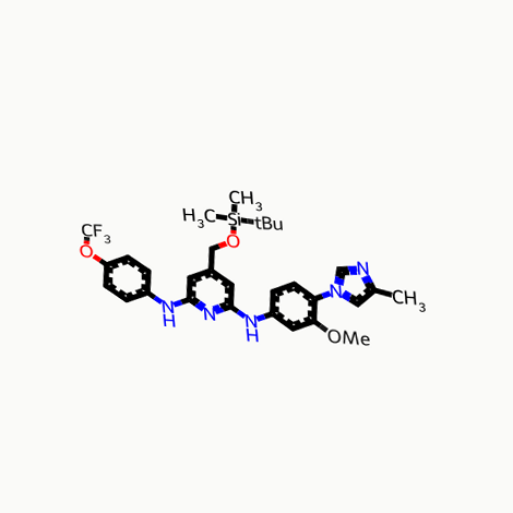 COc1cc(Nc2cc(CO[Si](C)(C)C(C)(C)C)cc(Nc3ccc(OC(F)(F)F)cc3)n2)ccc1-n1cnc(C)c1